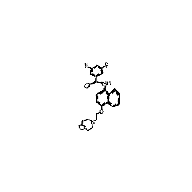 O=C(Nc1ccc(OCCN2CCOCC2)c2ccccc12)c1cc(F)cc(F)c1